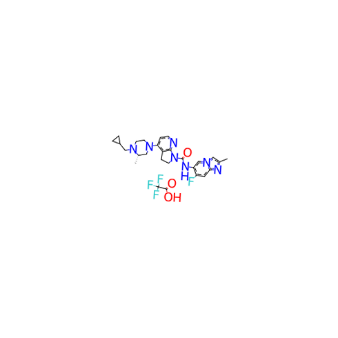 Cc1cn2cc(NC(=O)N3CCc4c(N5CCN(CC6CC6)[C@@H](C)C5)ccnc43)c(F)cc2n1.O=C(O)C(F)(F)F